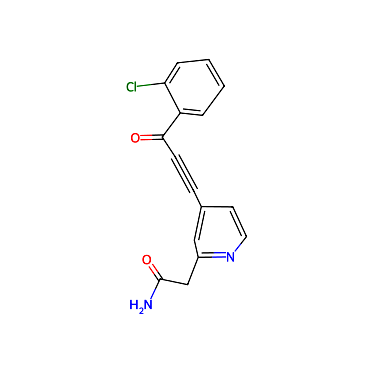 NC(=O)Cc1cc(C#CC(=O)c2ccccc2Cl)ccn1